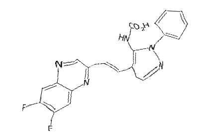 O=C(O)Nc1c(C=Cc2cnc3cc(F)c(F)cc3n2)cnn1-c1ccccc1